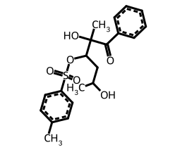 Cc1ccc(S(=O)(=O)OC(CC(C)O)C(C)(O)C(=O)c2ccccc2)cc1